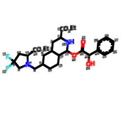 CCOC(=O)C1CC2CC(CN3CC(F)(F)C[C@H]3C(=O)OCC)CCC2C(OC(=O)[C@H](O)c2ccccc2)N1